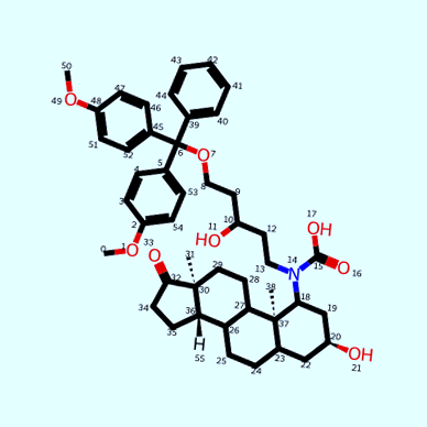 COc1ccc(C(OCCC(O)CCN(C(=O)O)C2C[C@@H](O)CC3CCC4C(CC[C@]5(C)C(=O)CC[C@@H]45)[C@]32C)(c2ccccc2)c2ccc(OC)cc2)cc1